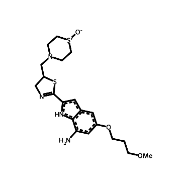 COCCCOc1cc(N)c2[nH]c(C3=NCC(CN4CC[S+]([O-])CC4)S3)cc2c1